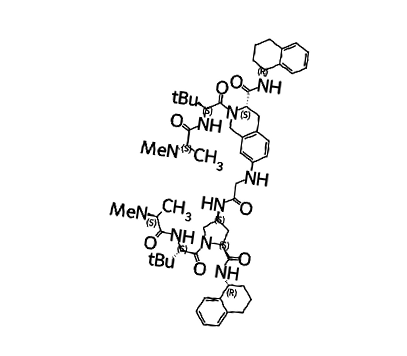 CN[C@@H](C)C(=O)N[C@H](C(=O)N1Cc2cc(NCC(=O)N[C@H]3C[C@@H](C(=O)N[C@@H]4CCCc5ccccc54)N(C(=O)[C@@H](NC(=O)[C@H](C)NC)C(C)(C)C)C3)ccc2C[C@H]1C(=O)N[C@@H]1CCCc2ccccc21)C(C)(C)C